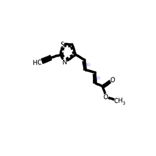 C#Cc1nc(/C=C/C=C/C(=O)OC)cs1